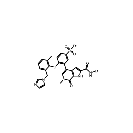 CCNC(=O)c1cc2c(-c3cc(S(=O)(=O)CC)ccc3Oc3c(C)cccc3Cn3ccnc3)cn(C)c(=O)c2[nH]1